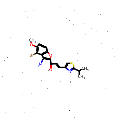 COc1ccc2oc(C(=O)C=Cc3csc(C(C)C)n3)c(N)c2c1Br